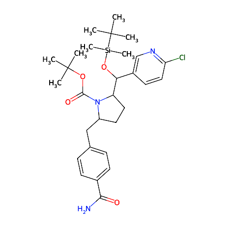 CC(C)(C)OC(=O)N1C(Cc2ccc(C(N)=O)cc2)CCC1C(O[Si](C)(C)C(C)(C)C)c1ccc(Cl)nc1